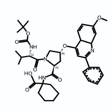 COC1=CC2N=C(c3ccccc3)C=C(O[C@@H]3C[C@@H](C(=O)NC4(C(=O)O)CCCCC4)N(C(=O)[C@@H](NC(=O)OC(C)(C)C)C(C)C)C3)C2C=C1